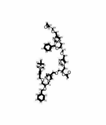 CC(=O)O[C@@H](COCc1cn(C[C@H](COCC#C[Si](C)(C)C(C)(C)C)OCc2ccccc2)nn1)Cn1cc(COC[C@@H](Cn2cc(COC[C@H]3CO3)nn2)OCc2ccccc2)nn1